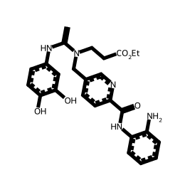 C=C(Nc1ccc(O)c(O)c1)N(CCC(=O)OCC)Cc1ccc(C(=O)Nc2ccccc2N)nc1